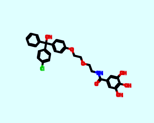 O=C(NCCOCCOc1ccc(C(O)(c2ccccc2)c2ccc(Cl)cc2)cc1)c1cc(O)c(O)c(O)c1